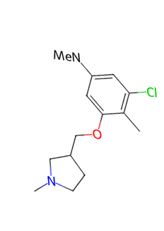 CNc1cc(Cl)c(C)c(OCC2CCN(C)C2)c1